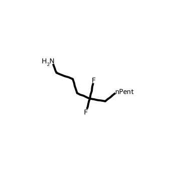 CCCCCCC(F)(F)CCCN